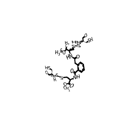 C=C(OC)C(CSSN[C@H](C=O)CS)NC(=O)Cc1ccccc1C(=O)NC(CSSN[C@H](C=O)CS)C(=O)OC